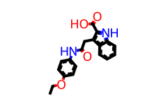 CCOc1ccc(NC(=O)Cc2c(C(=O)O)[nH]c3ccccc23)cc1